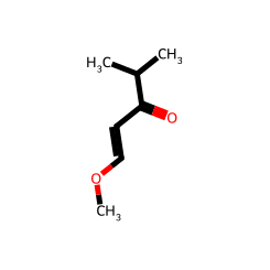 COC=CC(=O)C(C)C